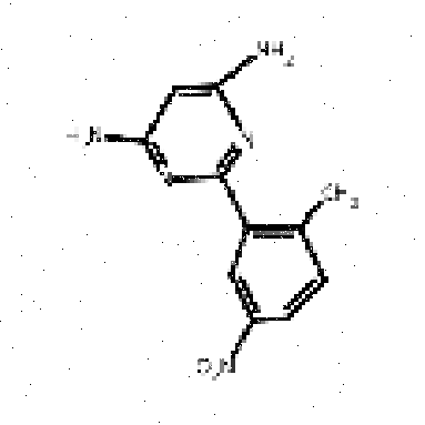 Cc1ccc([N+](=O)[O-])cc1-c1nc(N)cc(N)n1